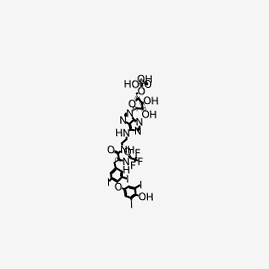 O=C(NCCNc1ncnc2c1ncn2[C@@H]1O[C@H](COP(=O)(O)O)[C@@H](O)[C@H]1O)[C@H](Cc1cc(I)c(Oc2cc(I)c(O)c(I)c2)c(I)c1)NC(=O)C(F)(F)F